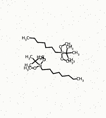 CCCCCCCC[Si](OC)(OC)C(C)(C)C.CCCCCCC[Si](OC)(OC)C(C)(C)C